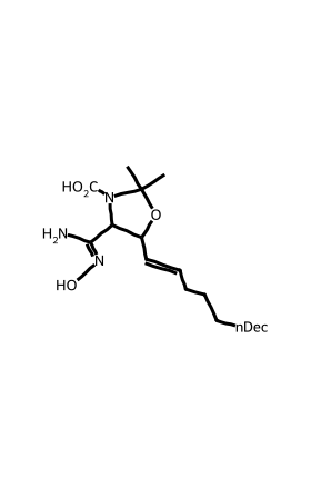 CCCCCCCCCCCCCC=CC1OC(C)(C)N(C(=O)O)C1/C(N)=N/O